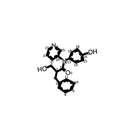 O=C(C(CO)Cc1ccccc1)N(c1ccc(O)cc1)c1cccnc1